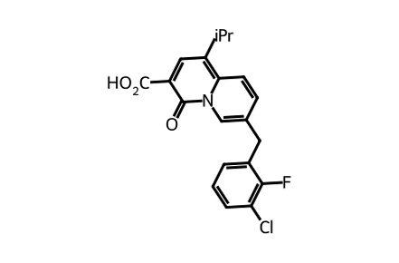 CC(C)c1cc(C(=O)O)c(=O)n2cc(Cc3cccc(Cl)c3F)ccc12